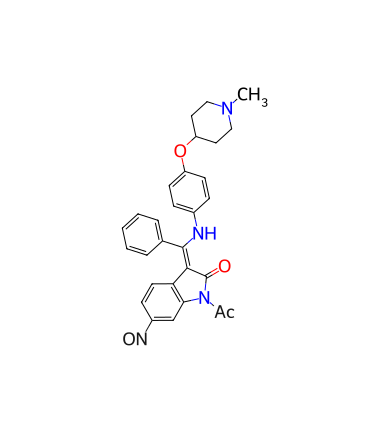 CC(=O)N1C(=O)/C(=C(\Nc2ccc(OC3CCN(C)CC3)cc2)c2ccccc2)c2ccc(N=O)cc21